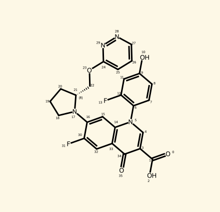 O=C(O)c1cn(-c2ccc(O)cc2F)c2cc(N3CCC[C@@H]3COc3cccnn3)c(F)cc2c1=O